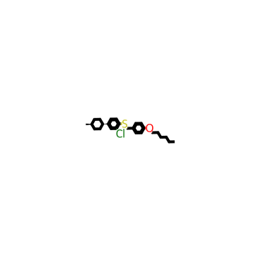 CCCCCCOc1ccc(CSc2ccc([C@H]3CC[C@H](C)CC3)cc2Cl)cc1